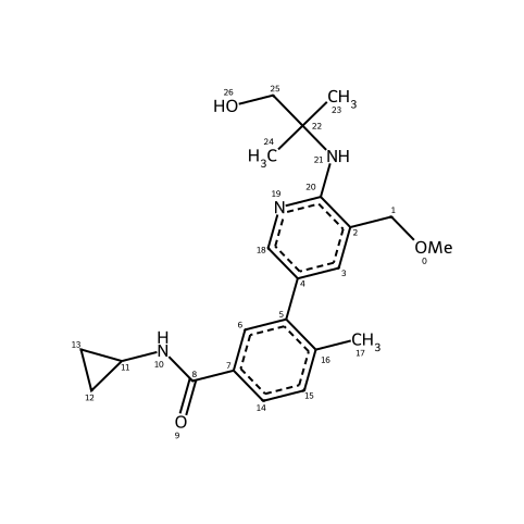 COCc1cc(-c2cc(C(=O)NC3CC3)ccc2C)cnc1NC(C)(C)CO